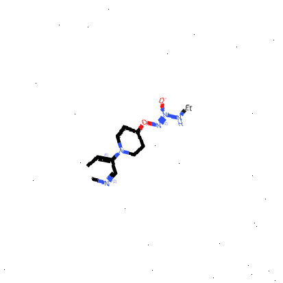 C/C=C(\C=N/C)N1CCC(O/N=[N+](\[O-])NCC)CC1